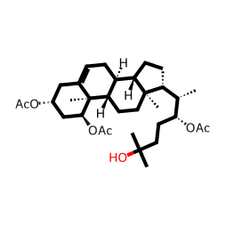 CC(=O)O[C@@H]1CC2=CC[C@H]3[C@@H]4CC[C@H]([C@H](C)[C@@H](CCC(C)(C)O)OC(C)=O)[C@@]4(C)CC[C@@H]3[C@@]2(C)[C@@H](OC(C)=O)C1